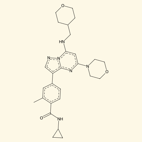 Cc1cc(-c2cnn3c(NCC4CCOCC4)cc(N4CCOCC4)nc23)ccc1C(=O)NC1CC1